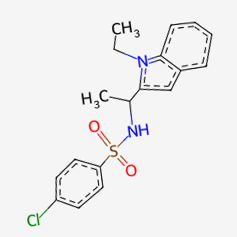 CCn1c(C(C)NS(=O)(=O)c2ccc(Cl)cc2)cc2ccccc21